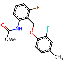 COC(=O)Nc1cccc(Br)c1COc1ccc(C)cc1F